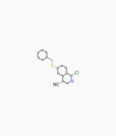 N#Cc1cnc(Cl)c2ccc(SCc3ccccc3)cc12